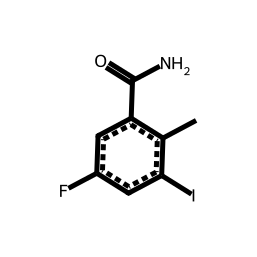 Cc1c(I)cc(F)cc1C(N)=O